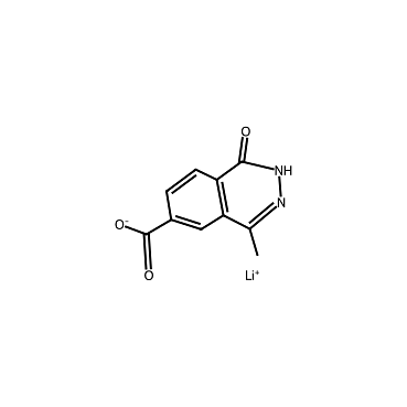 Cc1n[nH]c(=O)c2ccc(C(=O)[O-])cc12.[Li+]